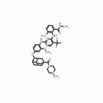 CNC(=O)c1cccc(C)c1Nc1nc(Nc2ccc(OC3C4CC5CC3CC(C(=O)N3CCN(C)CC3)(C5)C4)cc2OC)ncc1C(F)(F)F